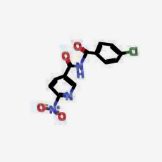 O=C(NC(=O)c1ccc([N+](=O)[O-])nc1)c1ccc(Cl)cc1